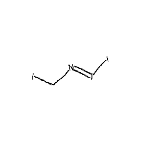 IC/N=I/I